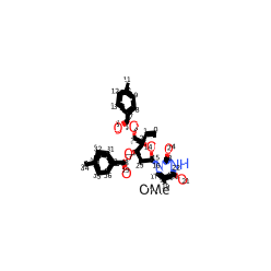 C=CC1(COC(=O)c2ccc(C)cc2)OC(n2cc(OC)c(=O)[nH]c2=O)CC1OC(=O)c1ccc(C)cc1